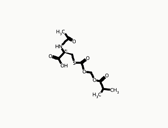 CC(=O)N[C@@H](CSC(=O)OCOC(=O)C(C)C)C(=O)O